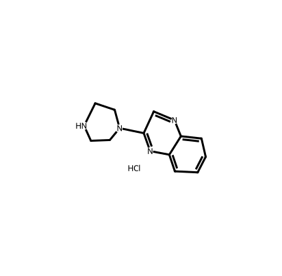 Cl.c1ccc2nc(N3CCNCC3)cnc2c1